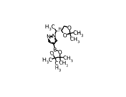 CC([C@@H]1COC(C)(C)O1)n1cc(B2OC(C)(C)C(C)(C)O2)cn1